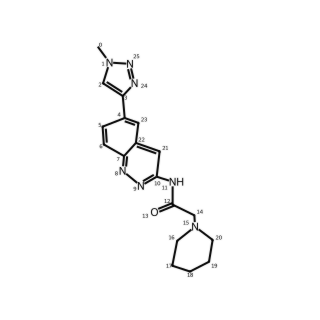 Cn1cc(-c2ccc3nnc(NC(=O)CN4CCCCC4)cc3c2)nn1